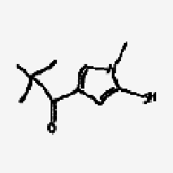 Cn1cc(C(=O)C(C)(C)C)cc1S